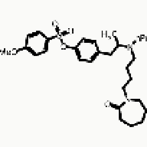 CCCN(CCCCN1CCCCCC1=O)C(C)Cc1ccc(OS(=O)(=O)c2ccc(OC)cc2)cc1